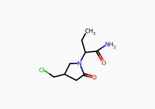 CCC(C(N)=O)N1CC(CCl)CC1=O